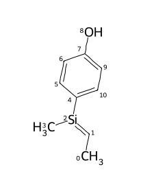 CC=[Si](C)c1ccc(O)cc1